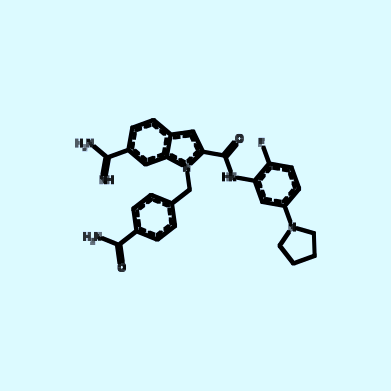 N=C(N)c1ccc2cc(C(=O)Nc3cc(N4CCCC4)ccc3F)n(Cc3ccc(C(N)=O)cc3)c2c1